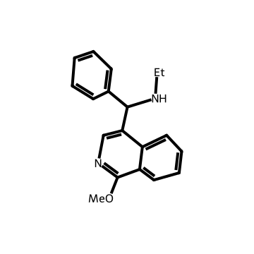 CCNC(c1ccccc1)c1cnc(OC)c2ccccc12